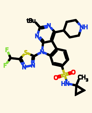 CC1(NS(=O)(=O)c2ccc3c4c(C5CCNCC5)nc(C(C)(C)C)nc4n(-c4nnc(C(F)F)s4)c3c2)CC1